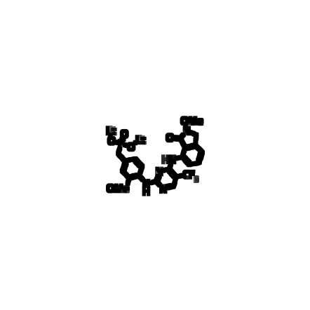 CCOP(=O)(Cc1ccc(Nc2ncc(C(F)(F)F)c(Nc3cccc4c3C(=O)N(OC)C4)n2)c(OC)c1)OCC